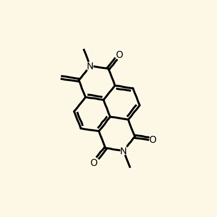 C=c1c2ccc3c4c(ccc(c(=O)n1C)c42)C(=O)N(C)C3=O